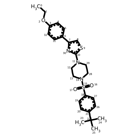 CCOc1ccc(-c2csc(N3CCN(S(=O)(=O)c4ccc(C(C)(C)C)cc4)CC3)n2)cc1